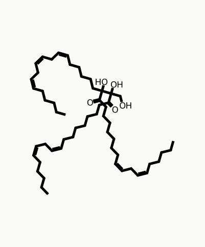 CCCCC/C=C\C/C=C\C/C=C\CCCCCC(O)(C(=O)CCCCCCC/C=C\C/C=C\CCCCC)C(O)(CO)C(=O)CCCCCCC/C=C\C/C=C\CCCCC